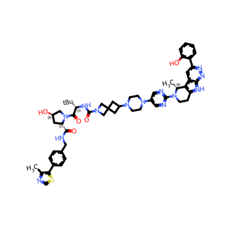 Cc1ncsc1-c1ccc(CNC(=O)[C@@H]2C[C@@H](O)CN2C(=O)[C@@H](NC(=O)N2CC3(CC(N4CCN(c5cnc(N6CCc7[nH]c8nnc(-c9ccccc9O)cc8c7[C@H]6C)nc5)CC4)C3)C2)C(C)(C)C)cc1